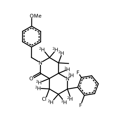 [2H]N1C([2H])(c2c(F)cccc2F)C([2H])([2H])C([2H])(Cl)C2([2H])C(=O)N(Cc3ccc(OC)cc3)C([2H])([2H])C([2H])(C)C12[2H]